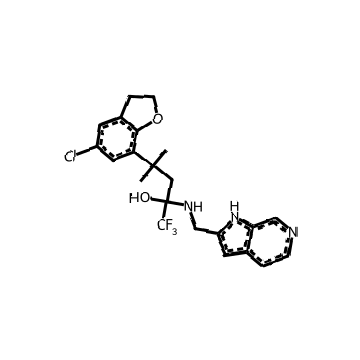 CC(C)(CC(O)(NCc1cc2ccncc2[nH]1)C(F)(F)F)c1cc(Cl)cc2c1OCC2